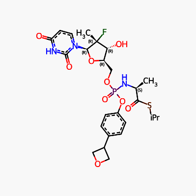 CC(C)SC(=O)[C@H](C)NP(=O)(OC[C@H]1O[C@@H](n2ccc(=O)[nH]c2=O)[C@](C)(F)[C@@H]1O)Oc1ccc(C2COC2)cc1